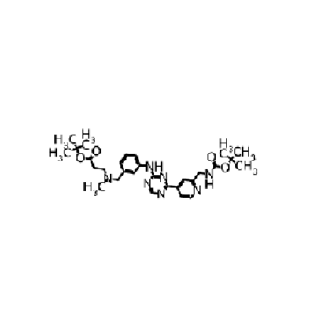 CN(CCC(=O)OC(C)(C)C)Cc1cccc(Nc2ncnc(-c3ccnc(CNC(=O)OC(C)(C)C)c3)n2)c1